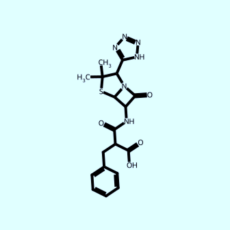 CC1(C)SC2C(NC(=O)C(Cc3ccccc3)C(=O)O)C(=O)N2C1c1nnn[nH]1